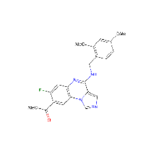 COC(=O)c1cc2c(cc1F)nc(NCc1ccc(OC)cc1OC)c1cncn12